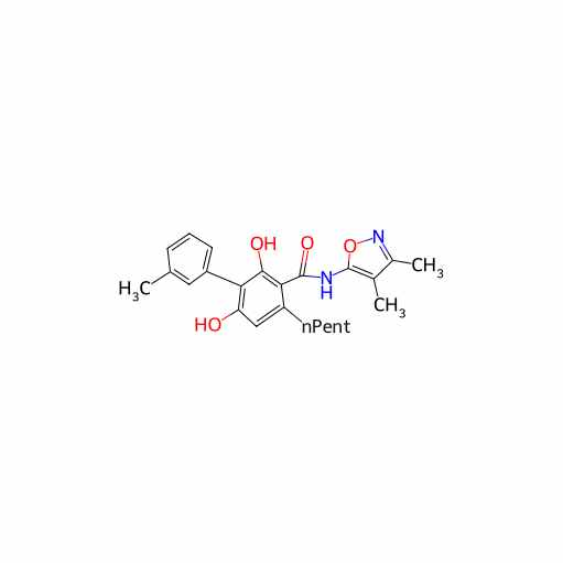 CCCCCc1cc(O)c(-c2cccc(C)c2)c(O)c1C(=O)Nc1onc(C)c1C